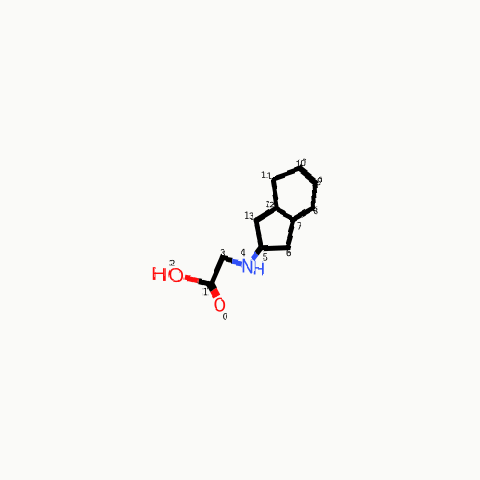 O=C(O)CNC1CC2CCCCC2C1